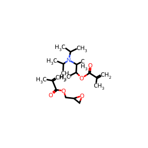 C=C(C)C(=O)OC(C)C(C)N(C(C)C)C(C)C.C=C(C)C(=O)OCC1CO1